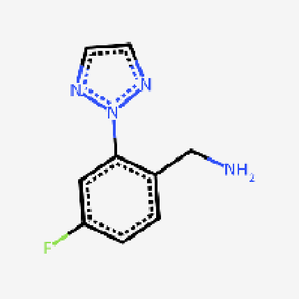 NCc1ccc(F)cc1-n1nccn1